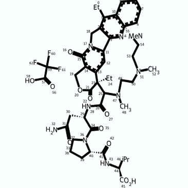 CCc1c2c(nc3ccccc13)-c1cc3c(c(=O)n1C2)COC(=O)[C@]3(CC)C(C(=O)N[C@@H](CC(N)=O)C(=O)N1CCC[C@H]1C(=O)N[C@H](C(=O)O)C(C)C)N(C)CCN(C)CCNC.O=C(O)C(F)(F)F